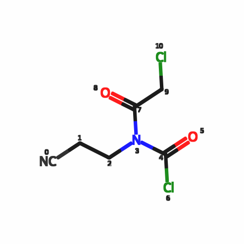 N#CCCN(C(=O)Cl)C(=O)CCl